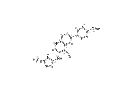 COc1ccc(-c2ccc3ncc(Nc4ccn(C)n4)c(=O)n3c2)cn1